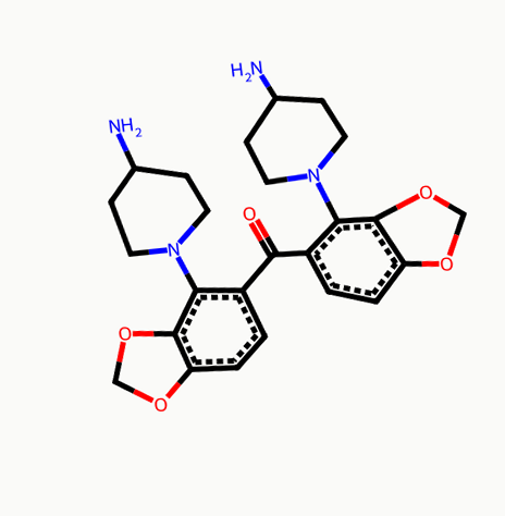 NC1CCN(c2c(C(=O)c3ccc4c(c3N3CCC(N)CC3)OCO4)ccc3c2OCO3)CC1